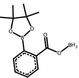 BOC(=O)c1ccccc1B1OC(C)(C)C(C)(C)O1